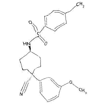 COc1cccc([C@]2(C#N)CC[C@H](NS(=O)(=O)c3ccc(C)cc3)CC2)c1